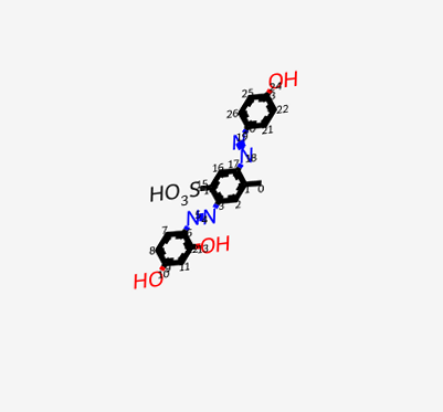 Cc1cc(N=Nc2ccc(O)cc2O)c(S(=O)(=O)O)cc1N=Nc1ccc(O)cc1